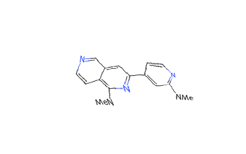 CNc1cc(-c2cc3cnccc3c(NC)n2)ccn1